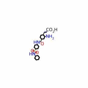 Nc1cc(C(=O)Nc2ccc(S(=O)(=O)Nc3ccccc3)cc2)ccc1/C=C/C(=O)O